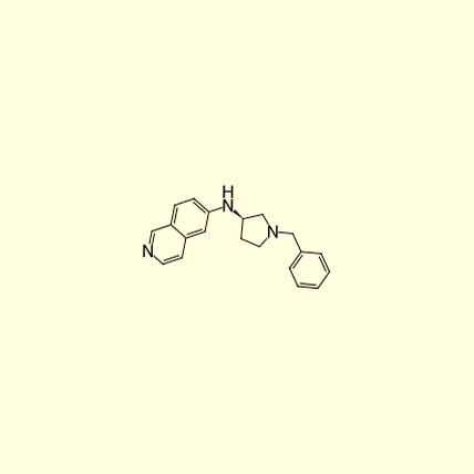 c1ccc(CN2CC[C@@H](Nc3ccc4cnccc4c3)C2)cc1